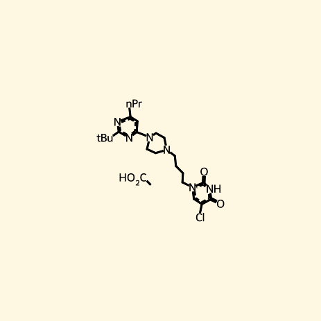 CC(=O)O.CCCc1cc(N2CCN(CCCCn3cc(Cl)c(=O)[nH]c3=O)CC2)nc(C(C)(C)C)n1